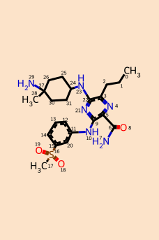 CCCc1nc(C(N)=O)c(Nc2cccc(S(C)(=O)=O)c2)nc1NC1CCC(C)(N)CC1